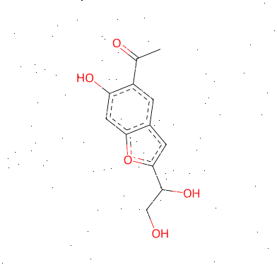 CC(=O)c1cc2cc(C(O)CO)oc2cc1O